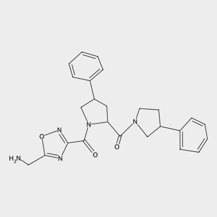 NCc1nc(C(=O)N2CC(c3ccccc3)CC2C(=O)N2CCC(c3ccccc3)C2)no1